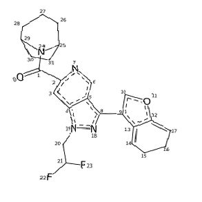 O=C(c1cc2c(cn1)c(-c1coc3c1=CCCC=3)nn2CC(F)F)N1C2CCCC1CC2